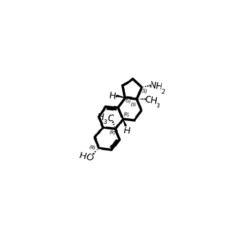 C[C@]12CC[C@H]3C(=CCC4C[C@@H](O)C=C[C@@]43C)[C@@H]1CC[C@@H]2N